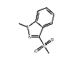 Cn1nc(S(C)(=O)=O)c2ccccc21